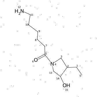 CCC1CN(C(=O)CCCCCN)CC1O